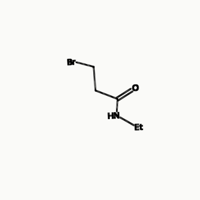 CCNC(=O)CCBr